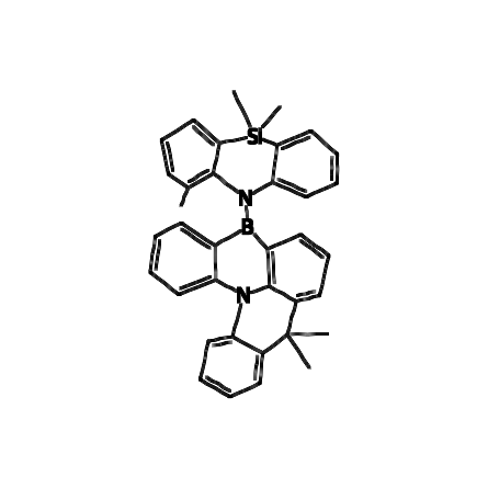 Cc1cccc2c1N(B1c3ccccc3N3c4ccccc4C(C)(C)c4cccc1c43)c1ccccc1[Si]2(C)C